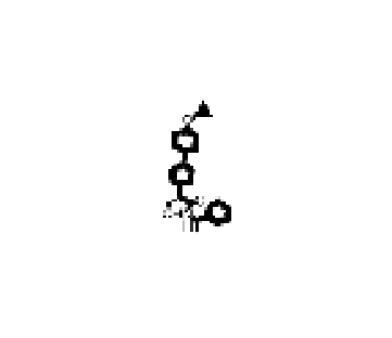 C[C@@H](NC(=O)[C@H](CO)c1ccc(-c2ccc(OC3CC3)cc2)cc1)c1ccccc1